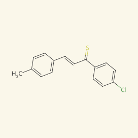 Cc1ccc(C=CC(=S)c2ccc(Cl)cc2)cc1